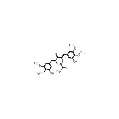 COc1cc(C=C2CN(C(C)=O)CC(=Cc3cc(O)c(OC)c(OC)c3)C2=O)cc(O)c1OC